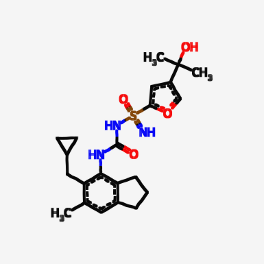 Cc1cc2c(c(NC(=O)NS(=N)(=O)c3cc(C(C)(C)O)co3)c1CC1CC1)CCC2